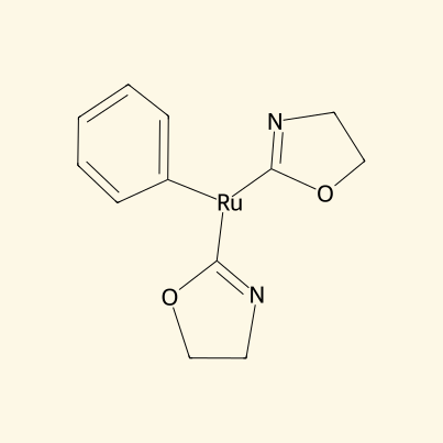 c1cc[c]([Ru]([C]2=NCCO2)[C]2=NCCO2)cc1